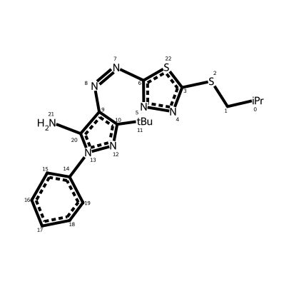 CC(C)CSc1nnc(/N=N\c2c(C(C)(C)C)nn(-c3ccccc3)c2N)s1